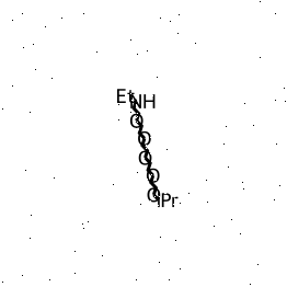 CCNCCOCCOCCOCCOCCOC(C)C